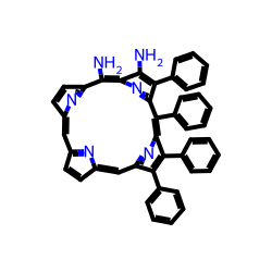 NC1=C2N=C(C(c3ccccc3)=C2N)C(c2ccccc2)=C2N=C(C=C3C=CC(=N3)C=C3C=CC1=N3)C(c1ccccc1)=C2c1ccccc1